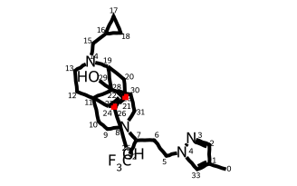 Cc1cnn(CCC(N2CCC34CCN(CC5CC5)C(Cc5ccc(O)cc53)C4(O)CC2)C(F)(F)F)c1